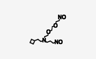 O=NCCCN(CCOCCOCCN=O)CCC1CCC1